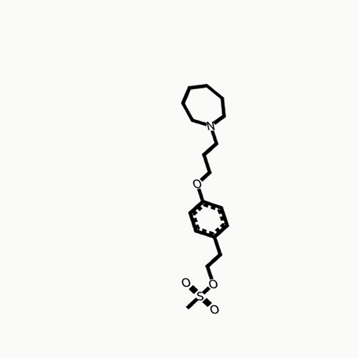 CS(=O)(=O)OCCc1ccc(OCCCN2CCCCCC2)cc1